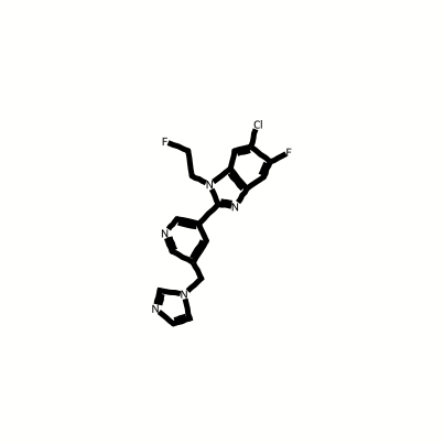 FCCn1c(-c2cncc(Cn3ccnc3)c2)nc2cc(F)c(Cl)cc21